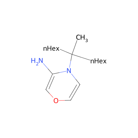 CCCCCCC(C)(CCCCCC)N1C=COC=C1N